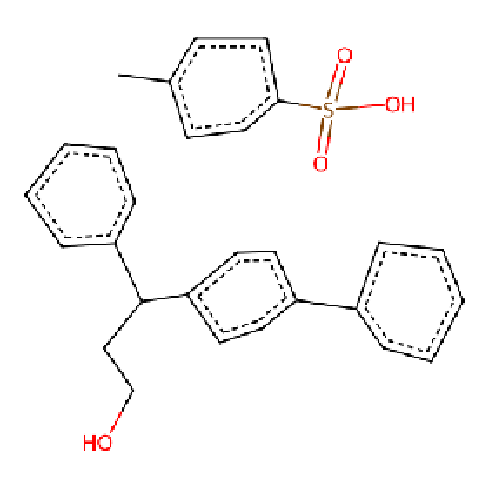 Cc1ccc(S(=O)(=O)O)cc1.OCCC(c1ccccc1)c1ccc(-c2ccccc2)cc1